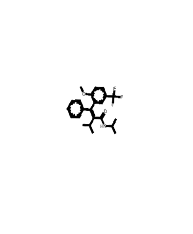 COc1ccc(C(F)(F)F)cc1C(=C(C(=O)NC(C)C)C(C)C)c1ccccc1